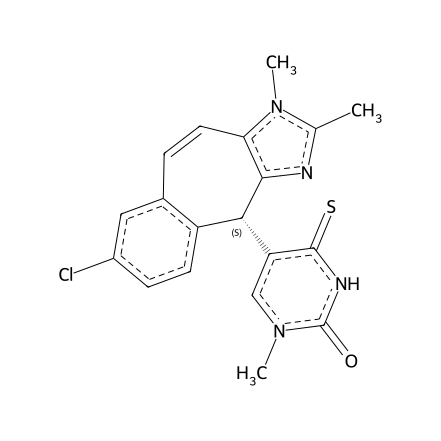 Cc1nc2c(n1C)C=Cc1cc(Cl)ccc1[C@H]2c1cn(C)c(=O)[nH]c1=S